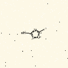 CCCc1noc(I)n1